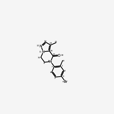 Cc1cc(Br)ccc1N1CCn2ncc(C)c2C1=O